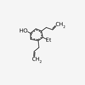 C=CCc1cc(O)cc(CC=C)c1CC